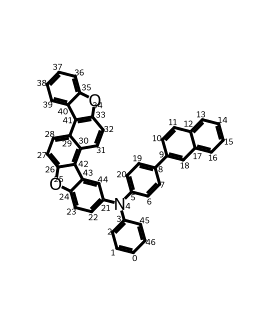 c1ccc(N(c2ccc(-c3ccc4ccccc4c3)cc2)c2ccc3oc4ccc5c(ccc6oc7ccccc7c65)c4c3c2)cc1